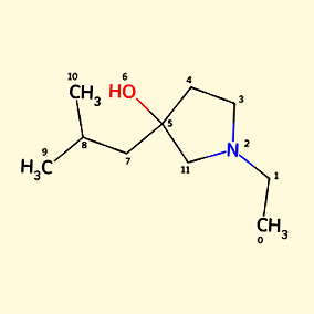 CCN1CCC(O)(CC(C)C)C1